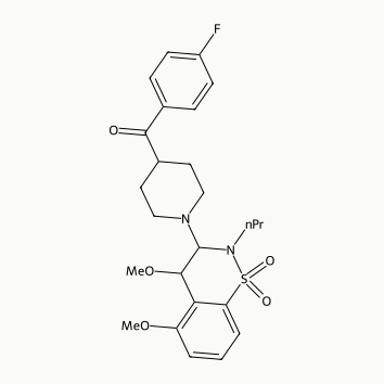 CCCN1C(N2CCC(C(=O)c3ccc(F)cc3)CC2)C(OC)c2c(OC)cccc2S1(=O)=O